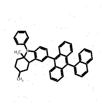 CC1CCC2(C)C(C1)c1cc(-c3c4ccccc4c(-c4cccc5ccccc45)c4ccccc34)ccc1N2c1ccccc1